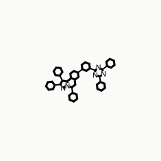 c1ccc(-c2nc(-c3ccccc3)nc(-c3cccc(-c4ccc5c(c4)cc(-c4ccccc4)n4nc(-c6ccccc6)c(-c6ccccc6)c54)c3)n2)cc1